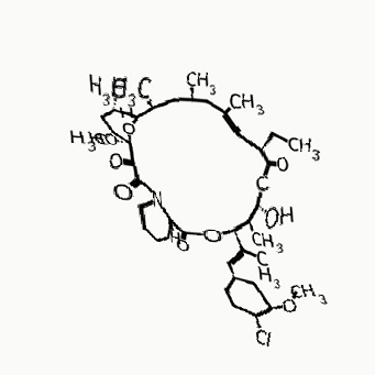 CC[C@@H]1/C=C(\C)C[C@H](C)C[C@H](C)[C@H]2O[C@@](O)(C(=O)C(=O)N3CCCC[C@H]3C(=O)O[C@H](/C(C)=C/[C@@H]3CC[C@H](Cl)[C@H](OC)C3)[C@H](C)[C@@H](O)CC1=O)[C@H](C)C[C@@H]2C